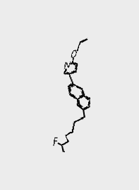 C=CCOc1ccc(-c2ccc3cc(CCCCCC(C)F)ccc3c2)cn1